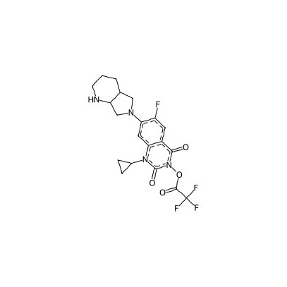 O=C(On1c(=O)c2cc(F)c(N3CC4CCCNC4C3)cc2n(C2CC2)c1=O)C(F)(F)F